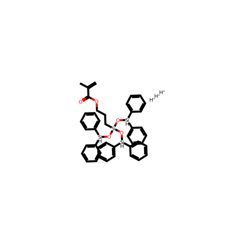 C=C(C)C(=O)OCCC[Si](O[SiH](c1ccccc1)c1ccccc1)(O[SiH](c1ccccc1)c1ccccc1)O[SiH](c1ccccc1)c1ccccc1.[H+].[H+].[H+]